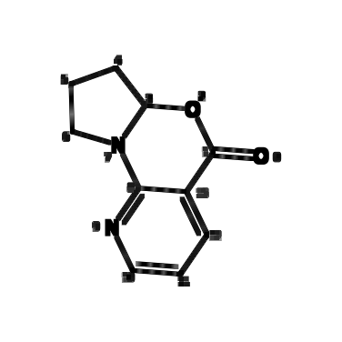 O=C1OC2CCCN2c2ncccc21